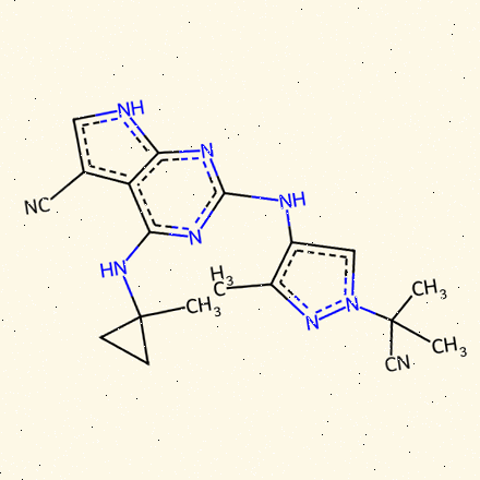 Cc1nn(C(C)(C)C#N)cc1Nc1nc(NC2(C)CC2)c2c(C#N)c[nH]c2n1